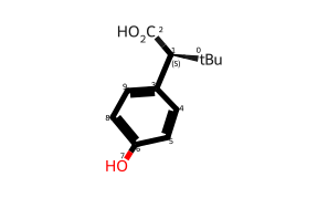 CC(C)(C)[C@H](C(=O)O)c1ccc(O)cc1